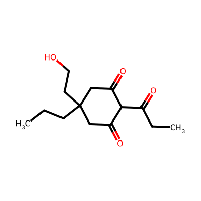 CCCC1(CCO)CC(=O)C(C(=O)CC)C(=O)C1